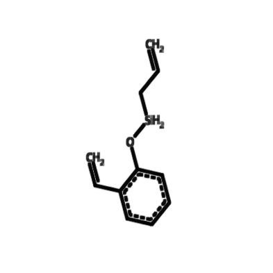 C=CC[SiH2]Oc1ccccc1C=C